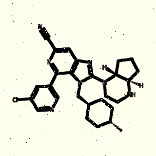 C[C@H]1CC[C@H](Cn2c(N3CCN[C@@H]4CCC[C@H]43)nc3cc(C#N)nc(-c4cncc(Cl)c4)c32)CC1